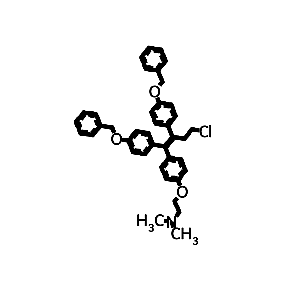 CN(C)CCOc1ccc(/C(=C(\CCCl)c2ccc(OCc3ccccc3)cc2)c2ccc(OCc3ccccc3)cc2)cc1